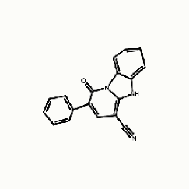 N#Cc1cc(-c2ccccc2)c(=O)n2c1[nH]c1ccccc12